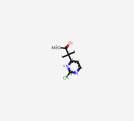 COC(=O)C(C)(C)c1ccnc(Cl)n1